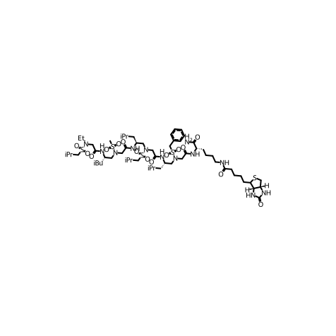 CCC(C)[C@@H](CN(CC(=O)N[C@@H](CC(C)C)CN(CC(=O)N[C@@H](CC(C)C)CN(CC(=O)N[C@@H](CCCCNC(=O)CCCCC1SC[C@@H]2NC(=O)N[C@H]12)C(N)=O)S(=O)(=O)Cc1ccccc1)S(=O)(=O)CC(C)C)S(C)(=O)=O)NC(=O)CN(CC)S(=O)(=O)CC(C)C